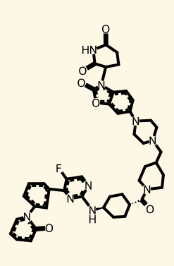 O=C1CCC(n2c(=O)oc3cc(N4CCN(CC5CCN(C(=O)[C@H]6CC[C@H](Nc7ncc(F)c(-c8cccc(-n9ccccc9=O)c8)n7)CC6)CC5)CC4)ccc32)C(=O)N1